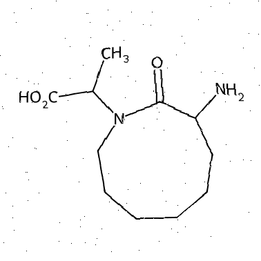 CC(C(=O)O)N1CCCCCCC(N)C1=O